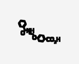 O=C(O)c1ccc(OCCNC(=O)c2ccccc2)cc1